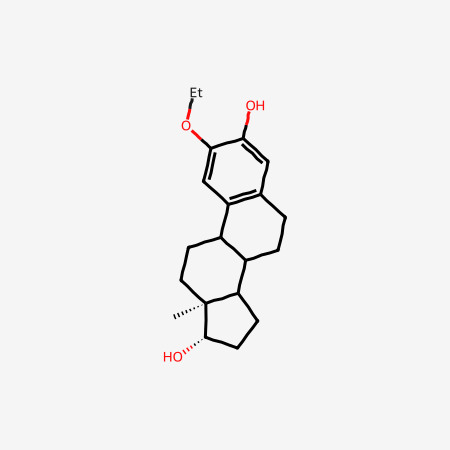 CCOc1cc2c(cc1O)CCC1C2CC[C@@]2(C)C1CC[C@@H]2O